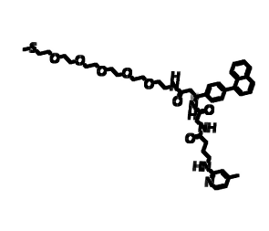 CSCCOCCOCCOCCOCCOCCNC(=O)C[C@H](NC(=O)CNC(=O)CCCNc1cc(C)ccn1)c1ccc(-c2cccc3ccccc23)cc1